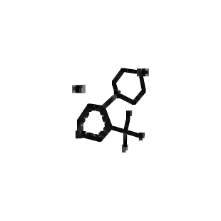 Cl.FC(F)(F)c1cnccc1N1CCNCC1